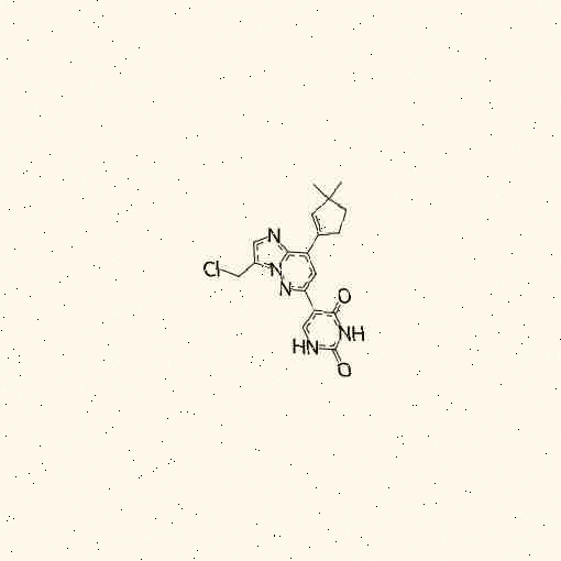 CC1(C)C=C(c2cc(-c3c[nH]c(=O)[nH]c3=O)nn3c(CCl)cnc23)CC1